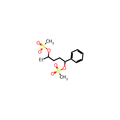 CCC(CCC(OS(C)(=O)=O)c1ccccc1)OS(C)(=O)=O